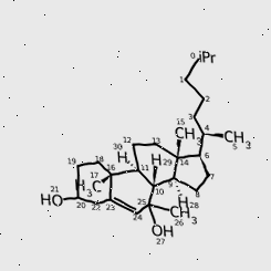 CC(C)CCC[C@@H](C)[C@H]1CC[C@H]2[C@H]3[C@H](CC[C@]12C)[C@@]1(C)CCC(O)CC1=CC3(C)O